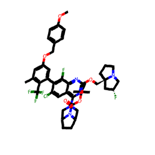 COc1ccc(COc2cc(C)c(C(F)(F)F)c(-c3c(Cl)cc4c(N5CC6CCC(C5)N6C(=O)OC(C)(C)C)nc(OC[C@@]56CCCN5C[C@H](F)C6)nc4c3F)c2)cc1